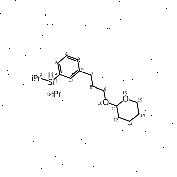 CC(C)[SiH](c1cccc(CCCOC2CCCCO2)c1)C(C)C